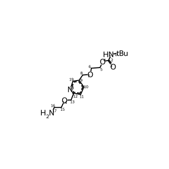 CC(C)(C)NC(=O)OCCOCc1ccc(COCCN)nc1